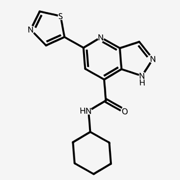 O=C(NC1CCCCC1)c1cc(-c2cncs2)nc2cn[nH]c12